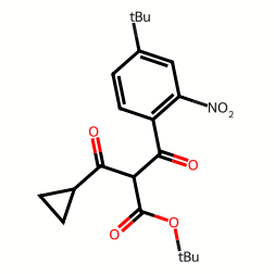 CC(C)(C)OC(=O)C(C(=O)c1ccc(C(C)(C)C)cc1[N+](=O)[O-])C(=O)C1CC1